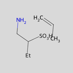 C=CC.CCC(CN)S(=O)(=O)O